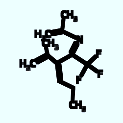 C=C(C)/N=C(\C(=C/CC)C(=C)C)C(F)(F)F